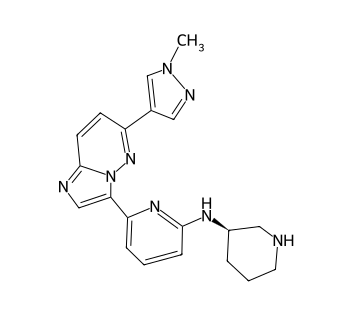 Cn1cc(-c2ccc3ncc(-c4cccc(N[C@@H]5CCCNC5)n4)n3n2)cn1